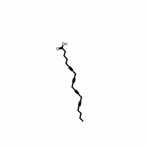 CCCCC#CCC#CCC#CCC#CCCCCC(=O)O